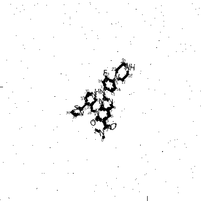 CN(C)C(=O)c1cc2cnc(Nc3ccc(N4CCNCC4)c(F)c3)nc2n(Cc2cnccc2-c2nccs2)c1=O